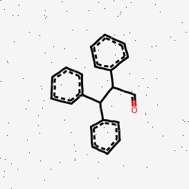 O=CC(c1ccccc1)C(c1ccccc1)c1ccccc1